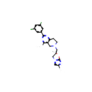 COc1nc(-c2cc(F)cc(F)c2)nc2c1CN(C[C@@]1(C)Cn3cc([N+](=O)[O-])nc3O1)CC2